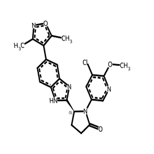 COc1ncc(N2C(=O)CC[C@H]2c2nc3cc(-c4c(C)noc4C)ccc3[nH]2)cc1Cl